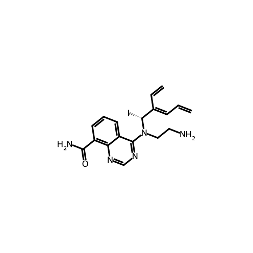 C=CC=C(C=C)[C@@H](I)N(CCN)c1ncnc2c(C(N)=O)cccc12